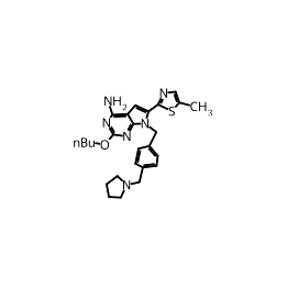 CCCCOc1nc(N)c2cc(-c3ncc(C)s3)n(Cc3ccc(CN4CCCC4)cc3)c2n1